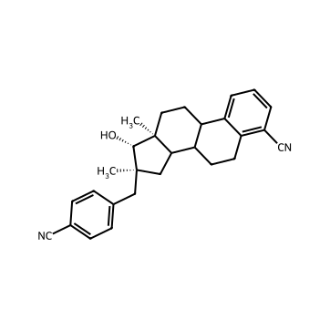 C[C@@]1(Cc2ccc(C#N)cc2)CC2C3CCc4c(C#N)cccc4C3CC[C@]2(C)[C@H]1O